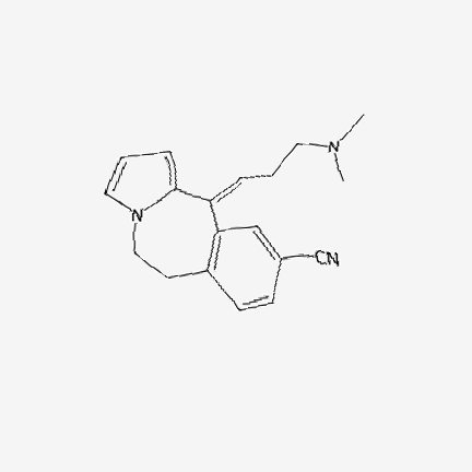 CN(C)CC/C=C1\c2cc(C#N)ccc2CCn2cccc21